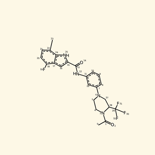 CC(=O)N1CCN(c2cccc(NC(=O)c3cc4c(F)ccc(C)c4[nH]3)c2)CC1C(F)(F)F